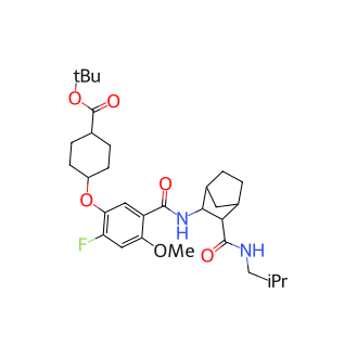 COc1cc(F)c(OC2CCC(C(=O)OC(C)(C)C)CC2)cc1C(=O)NC1C2CCC(C2)C1C(=O)NCC(C)C